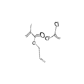 C=C(Cl)Cl.C=CCOC(=O)C(=C)C